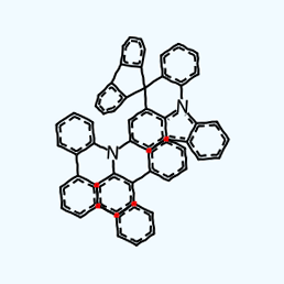 c1ccc(-c2cccc(-c3ccccc3N(c3cc4c5c(c3)c3ccccc3n5-c3ccccc3C43c4ccccc4-c4ccccc43)c3ccccc3-c3ccccc3)c2)cc1